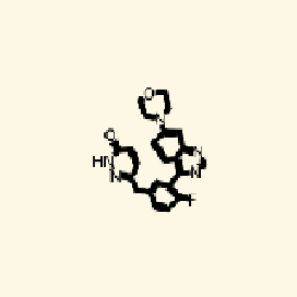 O=c1ccc(Cc2ccc(F)c(-c3ncnc4cc(N5CCOCC5)ccc34)c2)n[nH]1